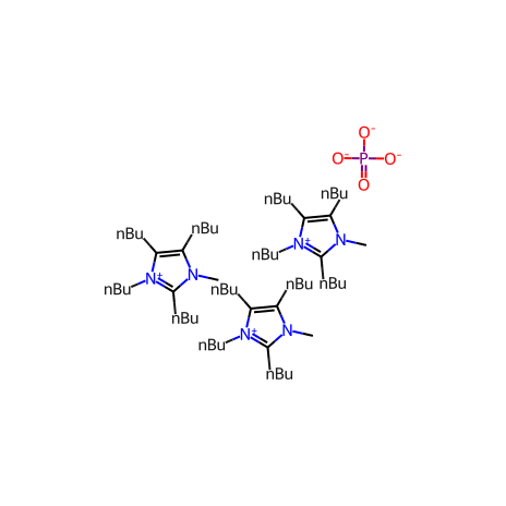 CCCCc1c(CCCC)[n+](CCCC)c(CCCC)n1C.CCCCc1c(CCCC)[n+](CCCC)c(CCCC)n1C.CCCCc1c(CCCC)[n+](CCCC)c(CCCC)n1C.O=P([O-])([O-])[O-]